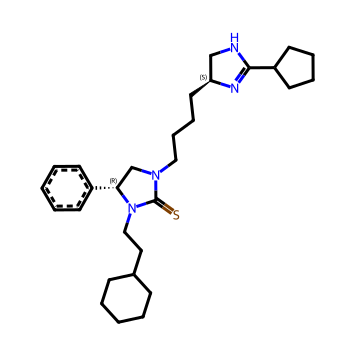 S=C1N(CCCC[C@H]2CNC(C3CCCC3)=N2)C[C@@H](c2ccccc2)N1CCC1CCCCC1